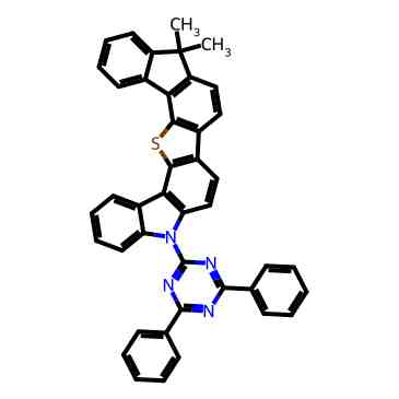 CC1(C)c2ccccc2-c2c1ccc1c2sc2c1ccc1c2c2ccccc2n1-c1nc(-c2ccccc2)nc(-c2ccccc2)n1